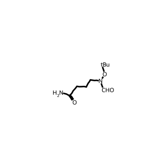 CC(C)(C)ON(C=O)CCCC(N)=O